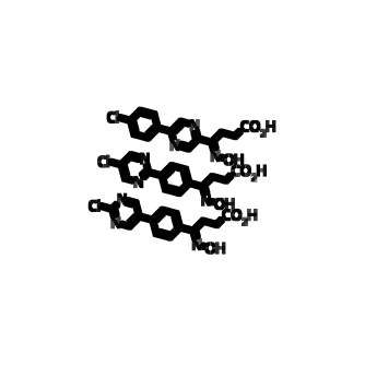 O=C(O)CC/C(=N\O)c1ccc(-c2cnc(Cl)nc2)cc1.O=C(O)CC/C(=N\O)c1ccc(-c2ncc(Cl)cn2)cc1.O=C(O)CC/C(=N\O)c1cnc(-c2ccc(Cl)cc2)cn1